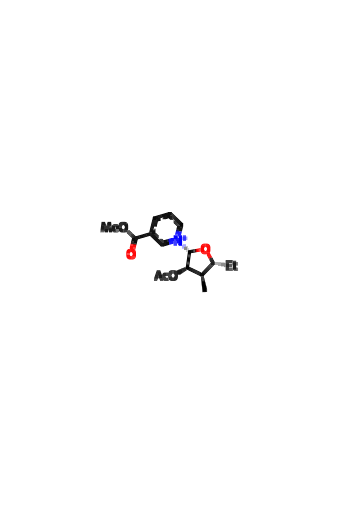 CC[C@H]1O[C@@H]([n+]2cccc(C(=O)OC)c2)[C@H](OC(C)=O)[C@@H]1C